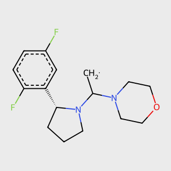 [CH2]C(N1CCOCC1)N1CCC[C@@H]1c1cc(F)ccc1F